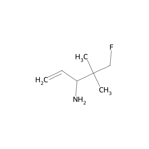 C=CC(N)C(C)(C)CF